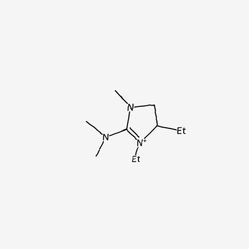 CCC1CN(C)C(N(C)C)=[N+]1CC